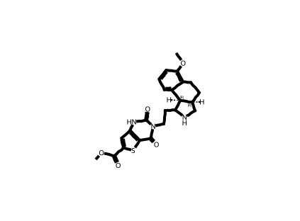 COC(=O)c1cc2[nH]c(=O)n(CCC3NC[C@@H]4CCc5c(OC)cccc5[C@H]34)c(=O)c2s1